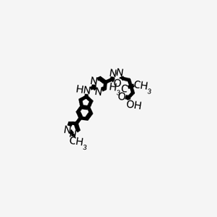 Cn1cc(-c2ccc3c(c2)CC(Nc2ncc(-c4nnc(CC(C)(C)CC(=O)O)o4)cn2)C3)cn1